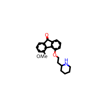 COc1cccc2c1-c1c(OCCC3CCCCN3)cccc1C2=O